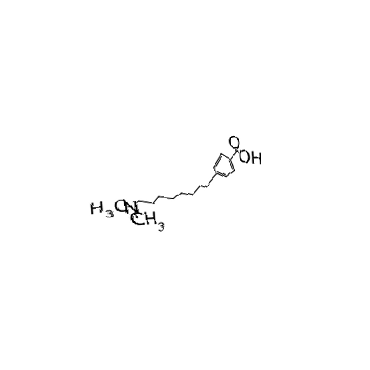 CN(C)CCCCCCCCc1ccc(C(=O)O)cc1